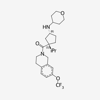 CC(C)[C@]1(C(=O)N2CCc3ccc(OC(F)(F)F)cc3C2)CC[C@@H](NC2CCOCC2)C1